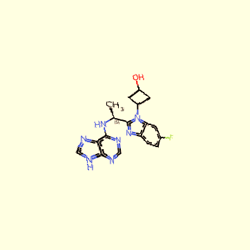 C[C@H](Nc1ncnc2[nH]cnc12)c1nc2ccc(F)cc2n1C1CC(O)C1